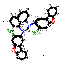 Brc1cc2oc3ccccc3c2cc1N1CN(c2cc3c(cc2Br)oc2ccccc23)c2cccc3cccc1c23